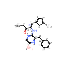 Bc1cnc(N/C(=C\C2=CC=C(C(F)(F)F)C2)C(=O)CC(C)(C)C)c(Cc2ccccc2)n1